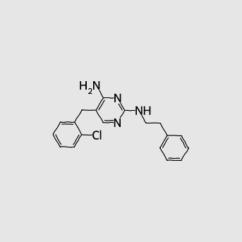 Nc1nc(NCCc2ccccc2)ncc1Cc1ccccc1Cl